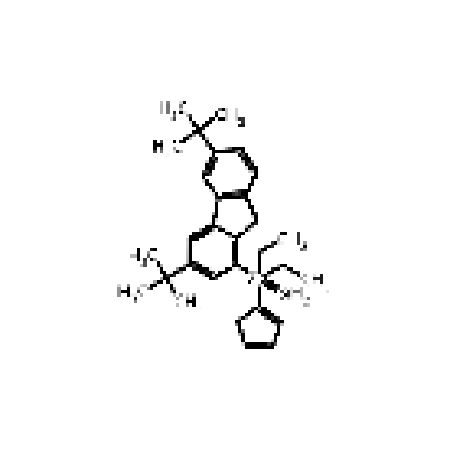 C[CH2][Zr](=[SiH2])([CH2]C)([C]1=CC=CC1)[c]1cc(C(C)(C)C)cc2c1Cc1ccc(C(C)(C)C)cc1-2